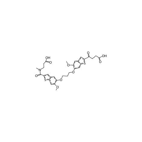 COc1cc2sc(C(=O)N(C)CCC(=O)O)cc2cc1OCCCOc1cc2sc(C(=O)CCC(=O)O)cc2cc1OC